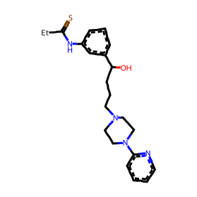 CCC(=S)Nc1cccc(C(O)CCCN2CCN(c3ccccn3)CC2)c1